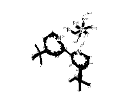 CC(C)(C)c1ccnc(-c2cc(C(C)(C)C)ccn2)c1.F[P-](F)(F)(F)(F)F.[Ir+]